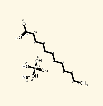 CCCCCCCCCCCC(=O)[O-].O=P(O)(O)O.[Na+]